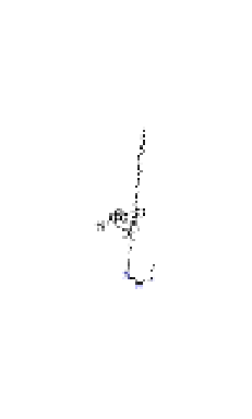 CC/C=C\C/C=C\C/C=C\CCCCCCCC(=O)O[C@H](COC(=O)CCCCCCCCCCCCCCCCC)COP(=O)([O-])OCC[N+](C)(C)C